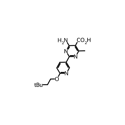 Cc1nc(-c2ccc(OCCC(C)(C)C)nc2)nc(N)c1C(=O)O